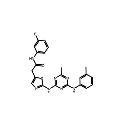 Cc1cccc(Nc2nc(C)nc(Nc3ncc(CC(=O)Nc4cccc(F)c4)s3)n2)c1